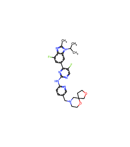 Cc1nc2c(F)cc(-c3nc(Nc4ccc(CN5CCOC6(CCOC6)C5)cn4)ncc3F)cc2n1C(C)C